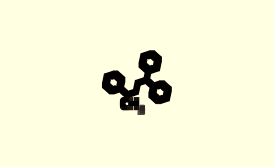 CC(CCC(c1ccccc1)c1ccccc1)c1ccccc1